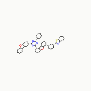 c1ccc(-c2nc(-c3ccc4oc5ccccc5c4c3)nc(-c3cccc4oc5c(-c6cccc(-c7nc8ccccc8s7)c6)cccc5c34)n2)cc1